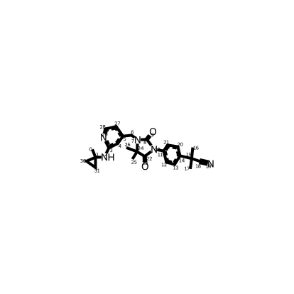 CC1(Nc2cc(CN3C(=O)N(c4ccc(C(C)(C)C#N)cc4)C(=O)C3(C)C)ccn2)CC1